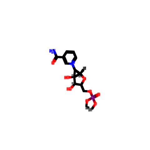 CC(C)OP(=O)(OCC1O[C@H]2C([n+]3cccc(C(N)=O)c3)[C@@]2(O)[C@@H]1O)OC(C)C